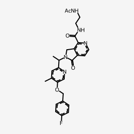 CC(=O)NCCNC(=O)c1nccc2c1CN(C(C)c1cc(C)c(OCc3ccc(F)cc3)cn1)C2=O